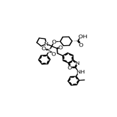 Cc1ccccc1Nc1nc2ccc(CC(=O)C(O[C@H]3CC[C@H](C(=O)O)CC3)(N3CCCC3)S(=O)(=O)c3ccccc3)cc2o1